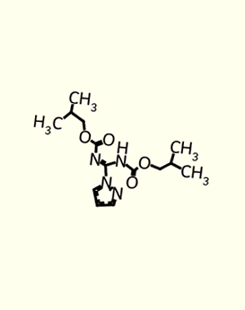 CC(C)COC(=O)N=C(NC(=O)OCC(C)C)n1cccn1